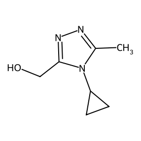 Cc1nnc(CO)n1C1CC1